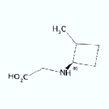 CC1CC[C@H]1NCC(=O)O